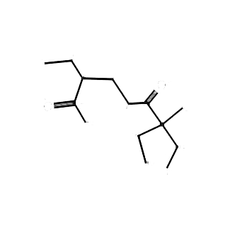 CCC(CCC(=O)C(C)(CC)CC)C(C)=O